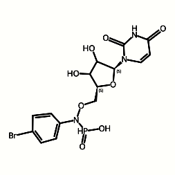 O=c1ccn([C@H]2O[C@@H](CON(c3ccc(Br)cc3)[PH](=O)O)C(O)C2O)c(=O)[nH]1